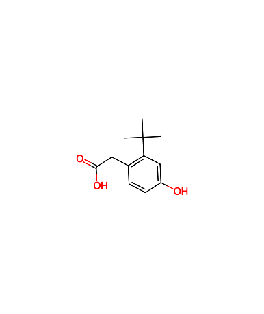 CC(C)(C)c1cc(O)ccc1CC(=O)O